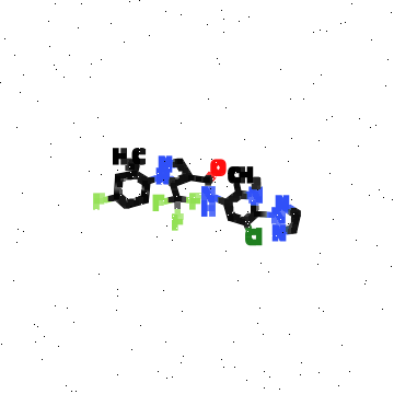 Cc1cc(F)ccc1-n1ncc(C(=O)Nc2cc(Cl)c(-n3nccn3)nc2C)c1C(F)(F)F